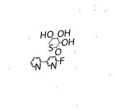 O[C@@H]1[C@@H](O)[C@H](Oc2cc(-c3ccccn3)cnc2F)SC[C@H]1O